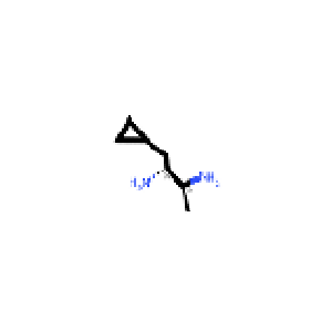 C[C@H](N)[C@H](N)CC1CC1